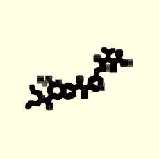 CCCN(CCC)C(=O)C1=Cc2ccc(C(=O)Nc3cncc(CNC(=O)C(NC(=O)O)C(C)C)c3)cc2N=C(N)C1